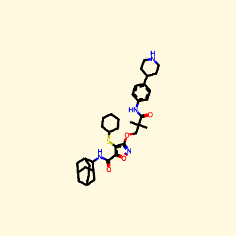 CC(C)(COc1noc(C(=O)NC2C3CC4CC(C3)CC2C4)c1SC1CCCCC1)C(=O)Nc1ccc(C2CCNCC2)cc1